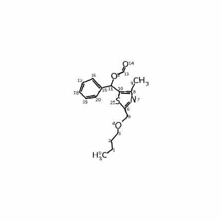 CCCCOCc1nc(C)c(C(OC=O)c2ccccc2)s1